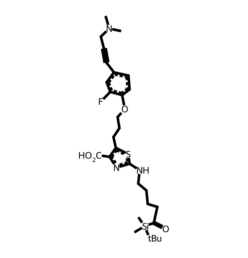 CN(C)CC#Cc1ccc(OCCCc2sc(NCCCCC(=O)[Si](C)(C)C(C)(C)C)nc2C(=O)O)c(F)c1